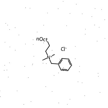 CCCCCCCCCC[N+](C)(C)Cc1ccccc1.[Cl-]